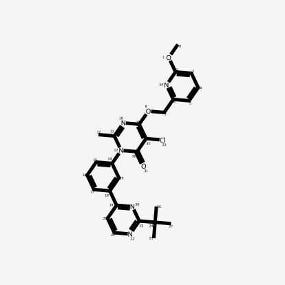 COc1cccc(COc2nc(C)n(-c3cccc(-c4ccnc(C(C)(C)C)n4)c3)c(=O)c2Cl)n1